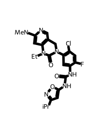 CCN1C(=O)N(c2cc(NC(=O)Nc3cc(C(C)C)no3)c(F)cc2Cl)Cc2cnc(NC)cc21